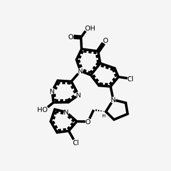 O=C(O)c1cn(-c2cnc(O)cn2)c2cc(N3CCC[C@@H]3COc3ncccc3Cl)c(Cl)cc2c1=O